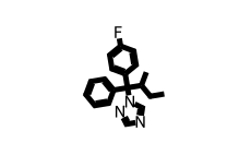 CCC(C)C(c1ccccc1)(c1ccc(F)cc1)n1cncn1